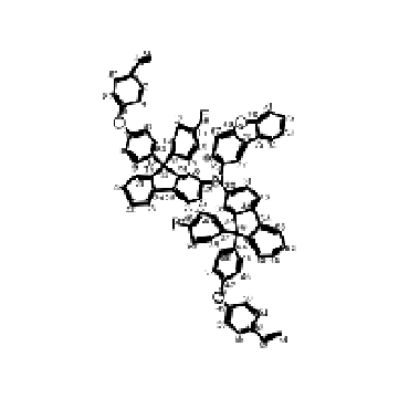 C=Cc1ccc(Oc2ccc(C3(c4ccc(F)cc4)c4ccccc4-c4ccc(N(c5ccc6c(c5)C(c5ccc(F)cc5)(c5ccc(Oc7ccc(C=C)cc7)cc5)c5ccccc5-6)c5ccc6oc7ccccc7c6c5)cc43)cc2)cc1